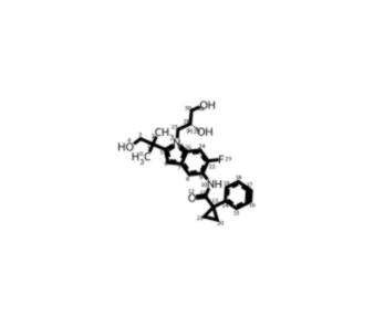 CC(C)(CO)c1cc2cc(NC(=O)C3(c4cc#ccc4)CC3)c(F)cc2n1C[C@@H](O)CO